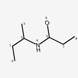 CCC(C)NC([O])CC